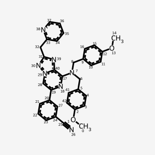 COc1ccc(CN(Cc2ccc(OC)cc2)c2nc(-c3cccc(C#N)c3)cn3nc(Cc4ccccn4)nc23)cc1